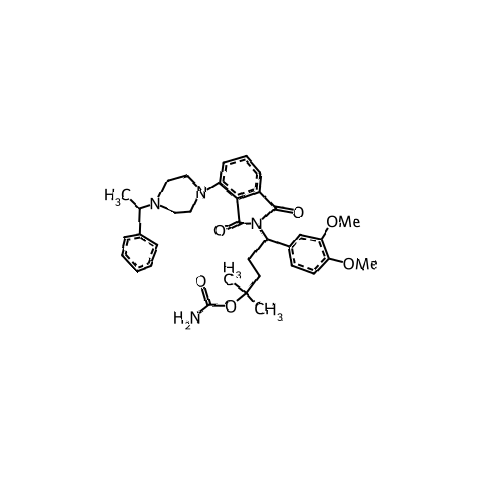 COc1ccc(C(CCC(C)(C)OC(N)=O)N2C(=O)c3cccc(N4CCN(C(C)c5ccccc5)CC4)c3C2=O)cc1OC